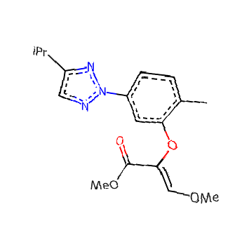 CO/C=C(\Oc1cc(-n2ncc(C(C)C)n2)ccc1C)C(=O)OC